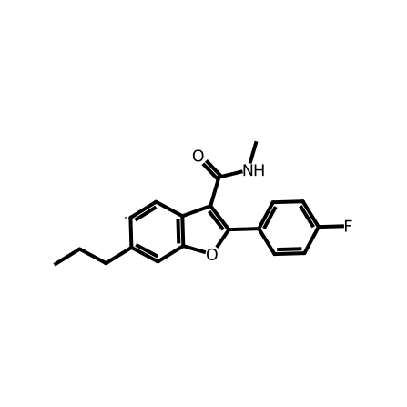 CCCc1[c]cc2c(C(=O)NC)c(-c3ccc(F)cc3)oc2c1